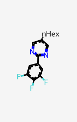 CCCCCCc1cnc(-c2cc(F)c(F)c(F)c2)nc1